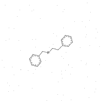 c1ccc(CC[P]Cc2ccccc2)cc1